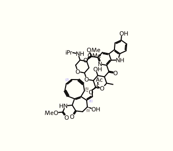 COC(=O)NC1C(=O)C[C@H](O)/C(=C/CSC(C)=O)C2=C1C#C/C=C\C#C[C@@H]2OC1OC(C)C(C(=O)c2nc(C(=O)OC)cc3c2[nH]c2ccc(O)cc23)C(O)C1OC1CC(OC)C(NC(C)C)CO1